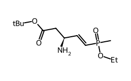 CCOP(C)(=O)/C=C/[C@@H](N)CC(=O)OC(C)(C)C